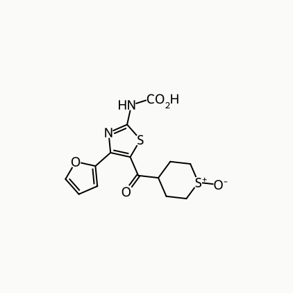 O=C(O)Nc1nc(-c2ccco2)c(C(=O)C2CC[S+]([O-])CC2)s1